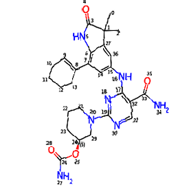 CC1(C)C(=O)Nc2c(C3=CCCCC3)cc(Nc3nc(N4CCC[C@H](OC(N)=O)C4)ncc3C(N)=O)cc21